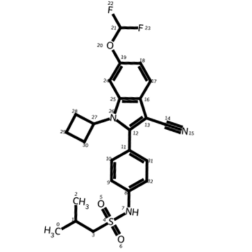 CC(C)CS(=O)(=O)Nc1ccc(-c2c(C#N)c3ccc(OC(F)F)cc3n2C2CCC2)cc1